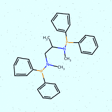 CC(CN(C)P(c1ccccc1)c1ccccc1)N(C)P(c1ccccc1)c1ccccc1